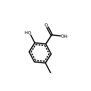 [CH2]c1ccc(O)c(C(=O)O)c1